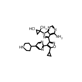 CC1(n2nc(-c3noc(C4CC4)c3-c3ncc(C4CCNCC4)cn3)c3c(N)ncnc32)CC1.Cl